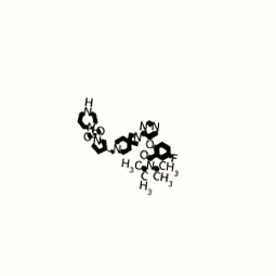 CC(C)N(C(=O)c1cc(F)ccc1Oc1cncnc1N1CC2(CCN(C[C@@H]3CCN(S(=O)(=O)N4CCCNCC4)C3)CC2)C1)C(C)C